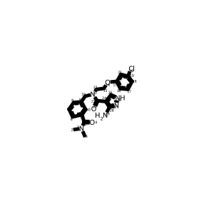 CN(C)C(=O)c1cccc(CN(CCOc2cccc(Cl)c2)C(=O)c2c[nH]nc2N)c1